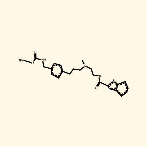 CN(CCCc1ccc(CNC(=O)OC(C)(C)C)cc1)CCNC(=O)c1nc2ccccc2s1